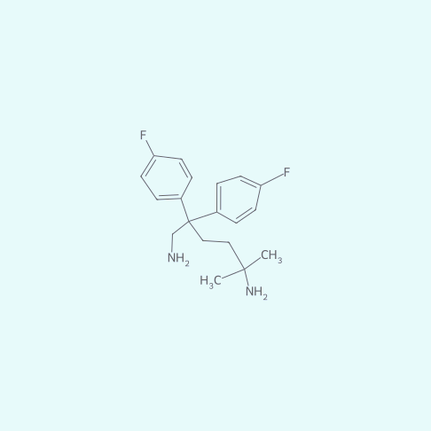 CC(C)(N)CCC(CN)(c1ccc(F)cc1)c1ccc(F)cc1